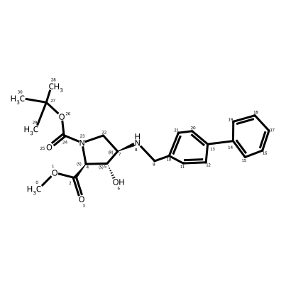 COC(=O)[C@@H]1[C@@H](O)[C@H](NCc2ccc(-c3ccccc3)cc2)CN1C(=O)OC(C)(C)C